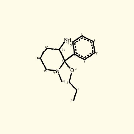 CCCOC1(c2ccccc2)C(N)CCCN1C